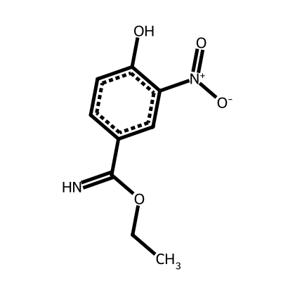 CCOC(=N)c1ccc(O)c([N+](=O)[O-])c1